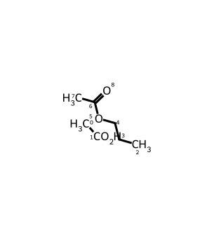 CC(=O)O.CCCOC(C)=O